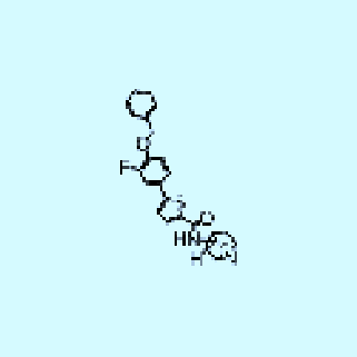 O=C(N[C@H]1CN2CCC1CC2)c1ccc(-c2ccc(OCc3ccccc3)c(F)c2)s1